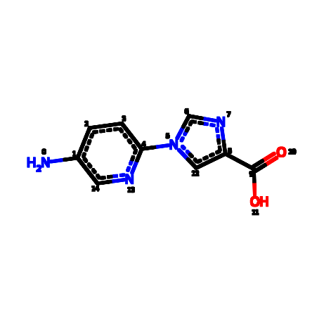 Nc1ccc(-n2cnc(C(=O)O)c2)nc1